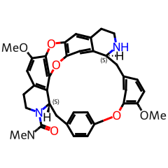 CNC(=O)N1CCc2cc(OC)c3c4c2[C@@H]1Cc1ccc(cc1)Oc1cc(ccc1OC)C[C@@H]1NCCc2cc(c(cc21)O4)O3